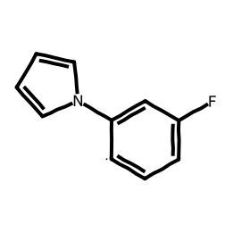 Fc1cc[c]c(-n2cccc2)c1